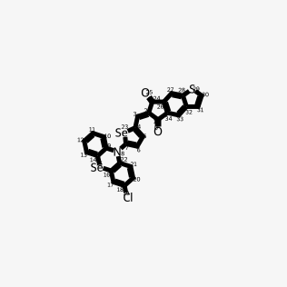 O=C1/C(=C\c2ccc(N3c4ccccc4[Se]c4cc(Cl)ccc43)[se]2)C(=O)c2cc3sccc3cc21